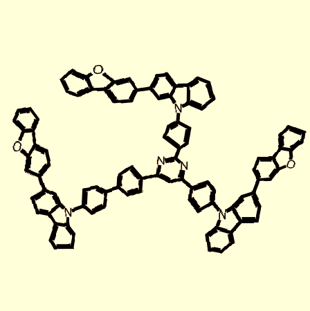 c1ccc2c(c1)oc1cc(-c3ccc4c5ccccc5n(-c5ccc(-c6ccc(-c7cc(-c8ccc(-n9c%10ccccc%10c%10ccc(-c%11ccc%12c(c%11)oc%11ccccc%11%12)cc%109)cc8)nc(-c8ccc(-n9c%10ccccc%10c%10ccc(-c%11ccc%12c(c%11)oc%11ccccc%11%12)cc%109)cc8)n7)cc6)cc5)c4c3)ccc12